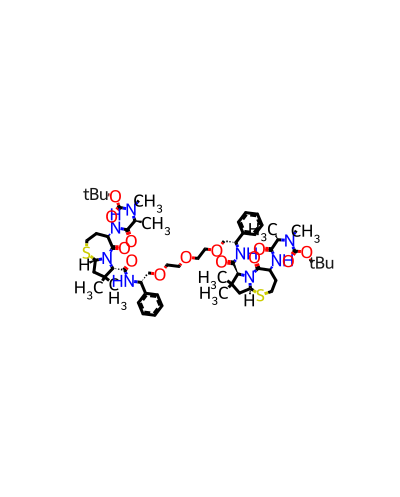 C[C@@H](C(=O)N[C@H]1CCS[C@H]2CC(C)(C)[C@@H](C(=O)N[C@H](COCCOCCOC[C@@H](NC(=O)[C@H]3N4C(=O)[C@@H](NC(=O)[C@H](C)N(C)C(=O)OC(C)(C)C)CCS[C@H]4CC3(C)C)c3ccccc3)c3ccccc3)N2C1=O)N(C)C(=O)OC(C)(C)C